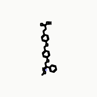 CO/N=C(/COc1ccc(COc2ccc(CCC(=O)O)cc2)cc1)c1ccccc1